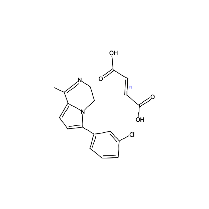 CC1=NCCn2c1ccc2-c1cccc(Cl)c1.O=C(O)/C=C/C(=O)O